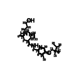 C=C(C/C(=C/NCc1cc(C)c(OCC(C)(F)C(C)C)cn1)C1C=CN1C)NCCCO